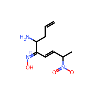 C=CCC(N)/C(C=CC(C)[N+](=O)[O-])=N/O